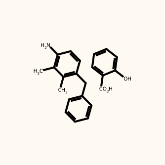 Cc1c(N)ccc(Cc2ccccc2)c1C.O=C(O)c1ccccc1O